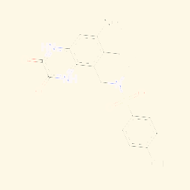 Cc1ccc(S(=O)(=O)N(C)Cc2c(C)c([N+](=O)[O-])cc3[nH]c(=O)c(=O)[nH]c23)cc1